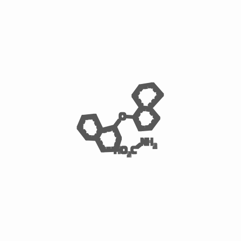 NC(=O)O.c1ccc2c(Oc3cccc4ccccc34)cccc2c1